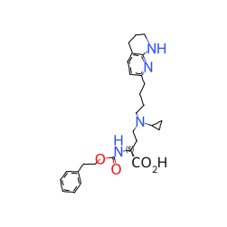 O=C(N[C@@H](CCN(CCCCc1ccc2c(n1)NCCC2)C1CC1)C(=O)O)OCCc1ccccc1